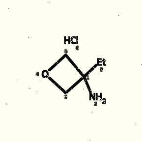 CCC1(N)COC1.Cl